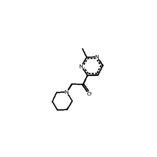 Cc1nccc(C(=O)CN2CCCCC2)n1